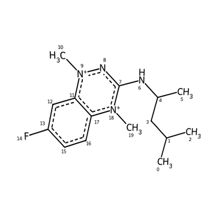 CC(C)CC(C)Nc1n[n+](C)c2cc(F)ccc2[n+]1C